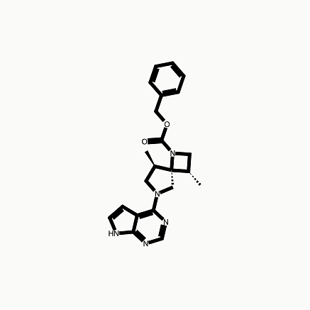 C[C@@H]1CN(c2ncnc3[nH]ccc23)C[C@]12[C@@H](C)CN2C(=O)OCc1ccccc1